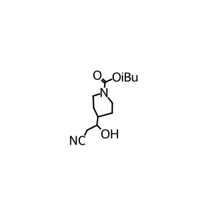 CC(C)COC(=O)N1CCC(C(O)CC#N)CC1